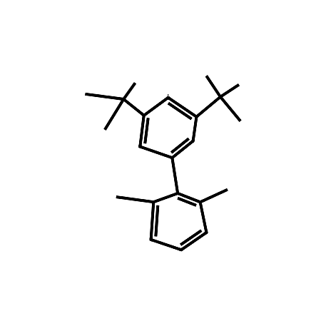 Cc1cccc(C)c1-c1cc(C(C)(C)C)[c]c(C(C)(C)C)c1